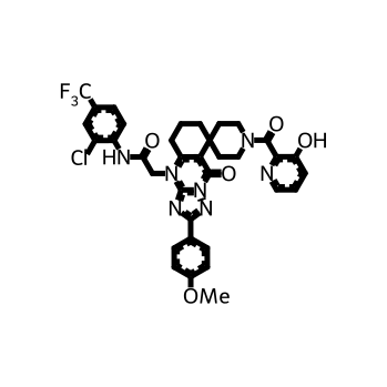 COc1ccc(-c2nc3n(CC(=O)Nc4ccc(C(F)(F)F)cc4Cl)c4c(c(=O)n3n2)C2(CCC4)CCN(C(=O)c3ncccc3O)CC2)cc1